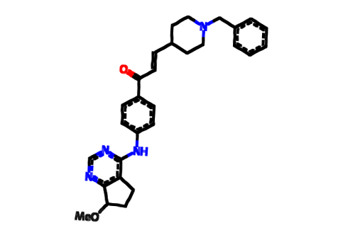 COC1CCc2c(Nc3ccc(C(=O)C=CC4CCN(Cc5ccccc5)CC4)cc3)ncnc21